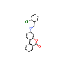 O=c1oc2cc(N=Cc3ccccc3Cl)ccc2c2ccccc12